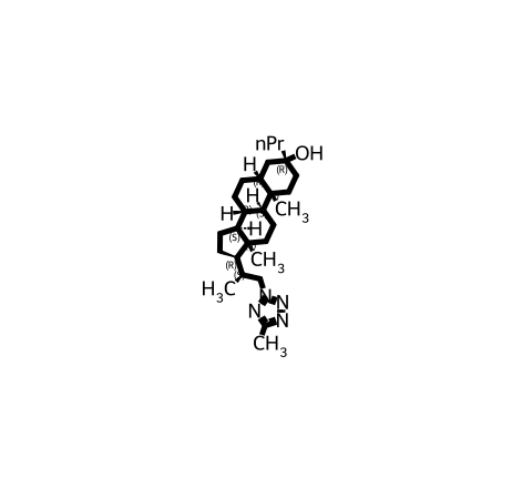 CCC[C@@]1(O)CC[C@@]2(C)[C@H](CC[C@@H]3[C@@H]2CC[C@]2(C)[C@@H]([C@H](C)Cn4nnc(C)n4)CC[C@@H]32)C1